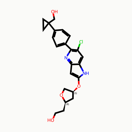 OCC[C@@H]1C[C@H](Oc2cc3nc(-c4ccc(C5(CO)CC5)cc4)c(Cl)cc3[nH]2)CO1